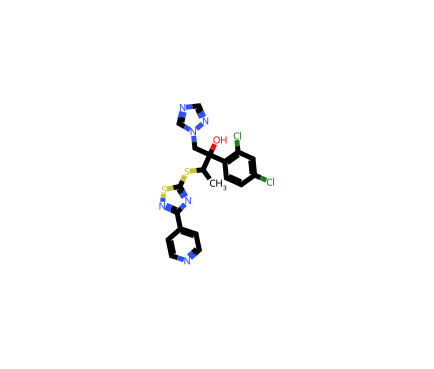 CC(Sc1nc(-c2ccncc2)ns1)C(O)(Cn1cncn1)c1ccc(Cl)cc1Cl